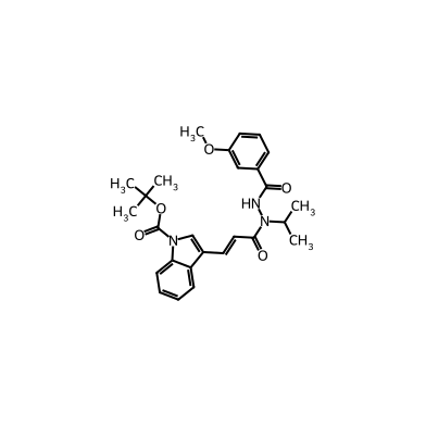 COc1cccc(C(=O)NN(C(=O)C=Cc2cn(C(=O)OC(C)(C)C)c3ccccc23)C(C)C)c1